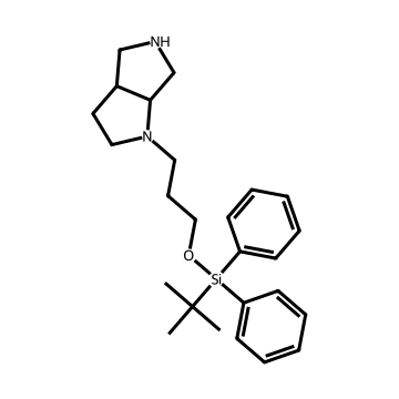 CC(C)(C)[Si](OCCCN1CCC2CNCC21)(c1ccccc1)c1ccccc1